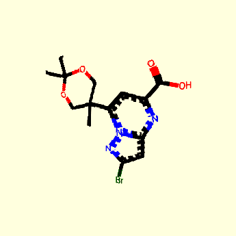 CC1(C)OCC(C)(c2cc(C(=O)O)nc3cc(Br)nn23)CO1